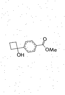 COC(=O)c1ccc(C2(O)CCC2)cc1